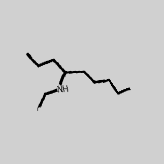 CCCCCC(CCC)NCI